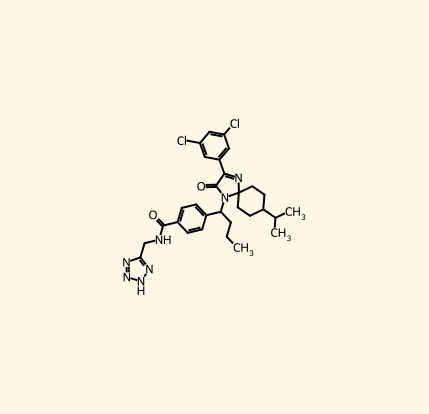 CCCC(c1ccc(C(=O)NCc2nn[nH]n2)cc1)N1C(=O)C(c2cc(Cl)cc(Cl)c2)=NC12CCC(C(C)C)CC2